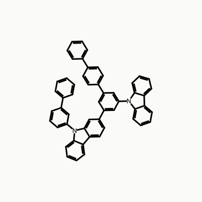 c1ccc(-c2ccc(-c3cc(-c4ccc5c6ccccc6n(-c6cccc(-c7ccccc7)c6)c5c4)cc(-n4c5ccccc5c5ccccc54)c3)cc2)cc1